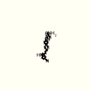 N#Cc1ccc2[nH]cc(CCCN3CCN(c4ccc(Sc5nccc(C(N)=O)n5)cc4)CC3)c2c1